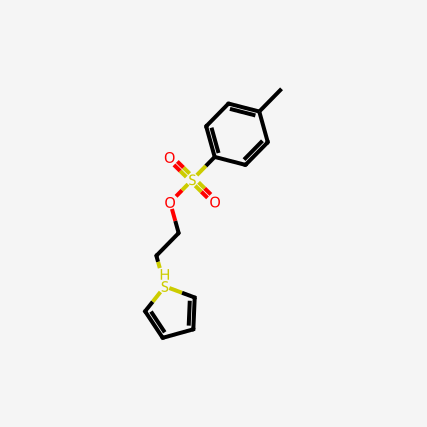 Cc1ccc(S(=O)(=O)OCC[SH]2C=CC=C2)cc1